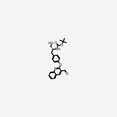 CC(C)(C)OC(=O)N[C@H](CO)Cc1ccc(Oc2nc3ccccc3cc2C=O)cc1